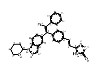 CC/C(=C(/c1ccc(/C=C/c2nsc(=O)[nH]2)cc1)c1ccc2c(cnn2C2CCCCO2)c1)c1ccccc1